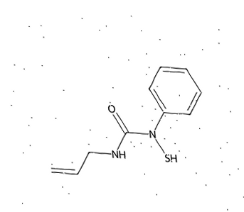 C=CCNC(=O)N(S)c1ccccc1